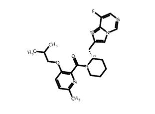 Cc1ccc(OCC(C)C)c(C(=O)N2CCCC[C@H]2Cc2cn3cncc(F)c3n2)n1